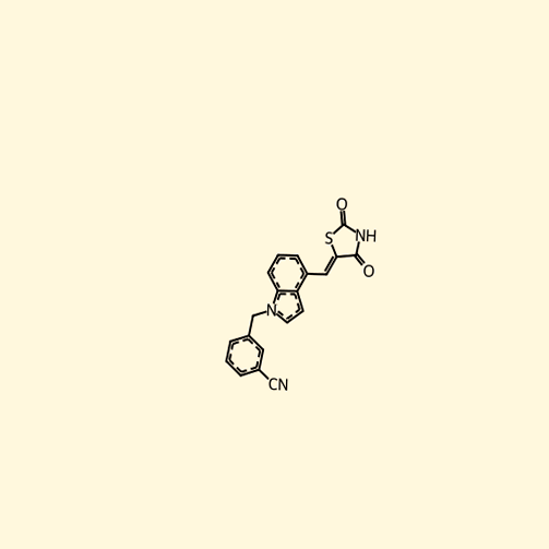 N#Cc1cccc(Cn2ccc3c(/C=C4\SC(=O)NC4=O)cccc32)c1